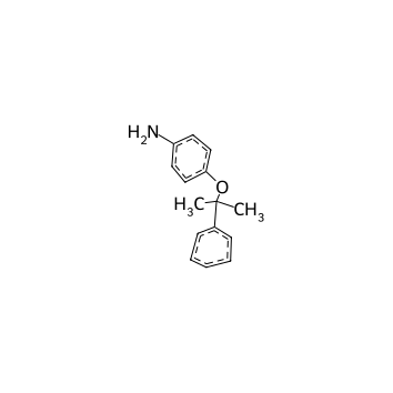 CC(C)(Oc1ccc(N)cc1)c1ccccc1